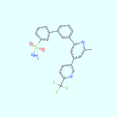 Cc1cc(-c2ccc(C(F)(F)F)nc2)cc(-c2cccc(-c3cccc(S(N)(=O)=O)c3)c2)n1